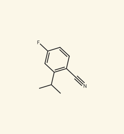 CC(C)c1cc(F)ccc1C#N